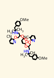 COc1ccc(CC(C)(C)NCC(COc2ncccc2C#N)OC(=O)/C=C\C(=O)OC(CNC(C)(C)Cc2ccc(OC)cc2)COc2ncccc2C#N)cc1